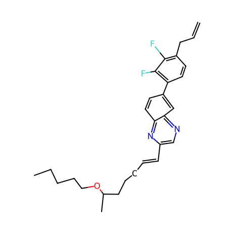 C=CCc1ccc(-c2ccc3nc(C=CCCCC(C)OCCCCC)cnc3c2)c(F)c1F